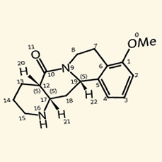 COc1cccc2c1CCN1C(=O)[C@H]3CCCN[C@H]3C[C@@H]21